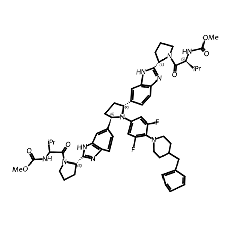 COC(=O)NC(C(=O)N1CCC[C@H]1c1nc2ccc([C@H]3CC[C@H](c4ccc5nc([C@@H]6CCCN6C(=O)[C@@H](NC(=O)OC)C(C)C)[nH]c5c4)N3c3cc(F)c(N4CCC(Cc5ccccc5)CC4)c(F)c3)cc2[nH]1)C(C)C